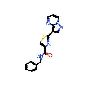 O=C(NCc1ccccc1)c1csc(-c2cnn3cccnc23)n1